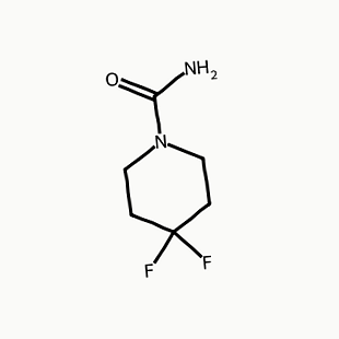 NC(=O)N1CCC(F)(F)CC1